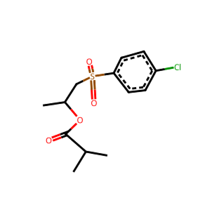 CC(CS(=O)(=O)c1ccc(Cl)cc1)OC(=O)C(C)C